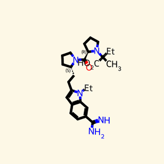 CCn1c(CC[C@@H]2CCCN2C(=O)[C@H]2CCCN2C(C)(CC)C(=O)O)cc2ccc(C(=N)N)cc21